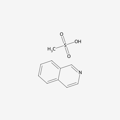 CS(=O)(=O)O.c1ccc2cnccc2c1